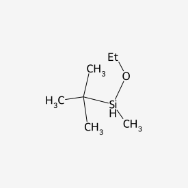 CCO[SiH](C)C(C)(C)C